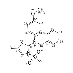 CC1=CN(S(C)(=O)=O)C(N(Cc2ccccc2)c2ccc(OC(F)(F)F)cc2)S1